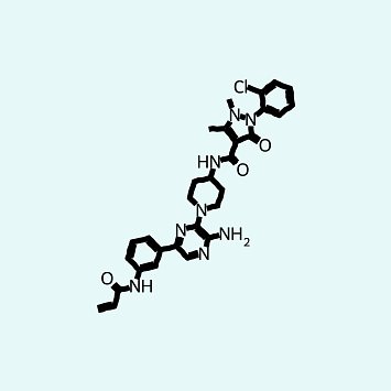 C=CC(=O)Nc1cccc(-c2cnc(N)c(N3CCC(NC(=O)c4c(C)n(C)n(-c5ccccc5Cl)c4=O)CC3)n2)c1